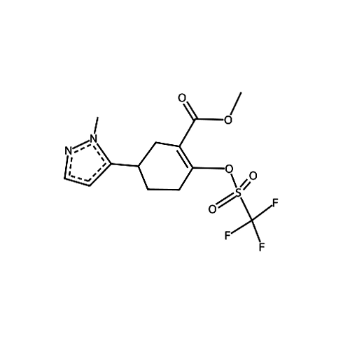 COC(=O)C1=C(OS(=O)(=O)C(F)(F)F)CCC(c2ccnn2C)C1